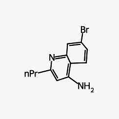 CCCc1cc(N)c2ccc(Br)cc2n1